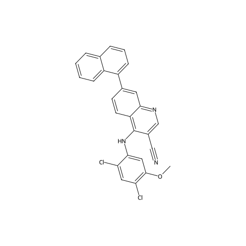 COc1cc(Nc2c(C#N)cnc3cc(-c4cccc5ccccc45)ccc23)c(Cl)cc1Cl